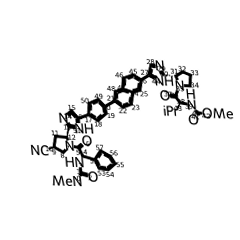 CNC(=O)N[C@@H](C(=O)N1C[C@@H](C#N)C[C@H]1c1ncc(-c2ccc(-c3ccc4cc(-c5cnc([C@@H]6CCCN6C(=O)[C@@H](NC(=O)OC)C(C)C)[nH]5)ccc4c3)cc2)[nH]1)c1ccccc1